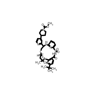 COC(=O)N1CCC(c2ccnc(C3CC[C@@H]4CN(c5nc(C(C)(C)C)ccc5C(=O)NS(=O)(=O)c5cccc(n5)N3)C(C)(C)C4)c2)CC1